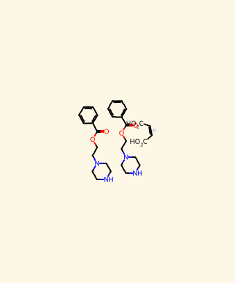 O=C(O)/C=C\C(=O)O.O=C(OCCN1CCNCC1)c1ccccc1.O=C(OCCN1CCNCC1)c1ccccc1